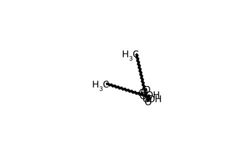 CCCCCCCCCCCCCCCCCCCCCC(=O)OC[C@H](OC(=O)CCCCCCCCCCCCCCCCCCCCC)[C@H]1OC(=O)C(O)=C1O